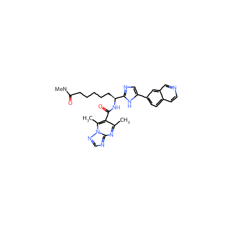 CNC(=O)CCCCC[C@H](NC(=O)c1c(C)nc2ncnn2c1C)c1ncc(-c2ccc3ccncc3c2)[nH]1